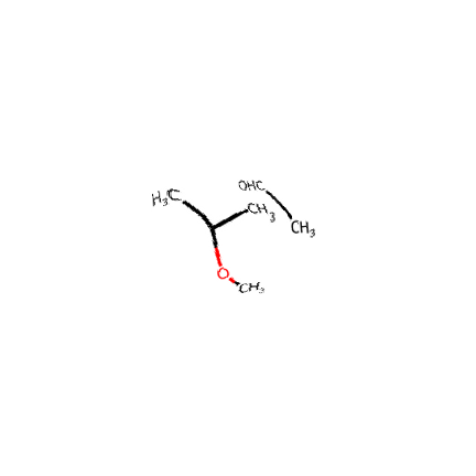 CC=O.COC(C)C